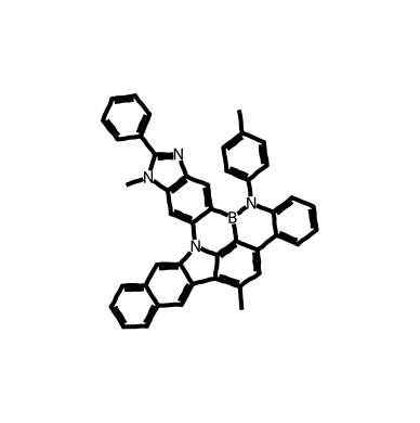 Cc1ccc(N2B3c4cc5nc(-c6ccccc6)n(C)c5cc4-n4c5cc6ccccc6cc5c5c(C)cc(c3c54)-c3ccccc32)cc1